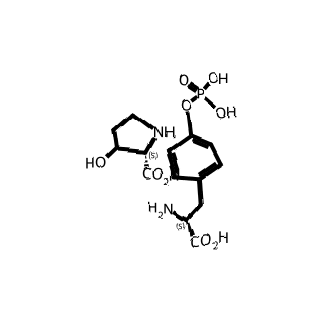 N[C@@H](Cc1ccc(OP(=O)(O)O)cc1)C(=O)O.O=C(O)[C@H]1NCCC1O